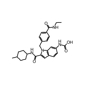 CCNC(=O)c1ccc(Cn2c(C(=O)NC3CCC(C)CC3)cc3ccc(NC(=O)O)cc32)cc1